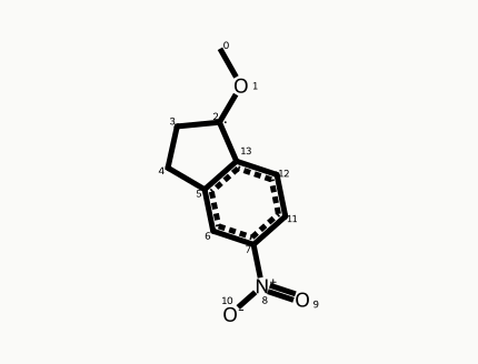 CO[C]1CCc2cc([N+](=O)[O-])ccc21